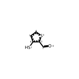 O=Cc1sccc1S